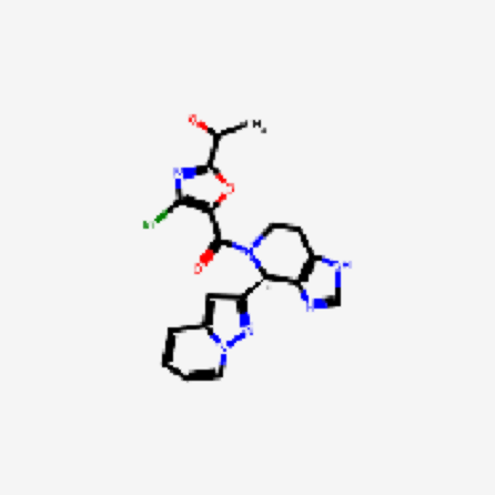 CC(O)c1nc(Br)c(C(=O)N2CCc3[nH]cnc3[C@H]2c2cc3ccccn3n2)o1